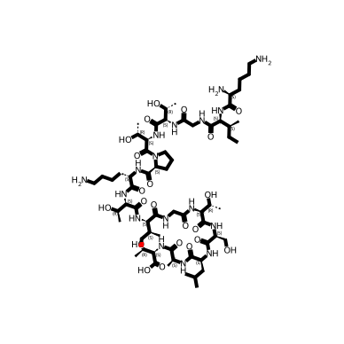 CC[C@H](C)[C@H](NC(=O)[C@@H](NC(=O)[C@H](CCCCN)NC(=O)[C@@H]1CCCN1C(=O)[C@@H](NC(=O)[C@@H](NC(=O)CNC(=O)[C@@H](NC(=O)[C@@H](N)CCCCN)[C@@H](C)CC)[C@@H](C)O)[C@@H](C)O)[C@@H](C)O)C(=O)NCC(=O)N[C@H](C(=O)N[C@@H](CO)C(=O)N[C@@H](CC(C)C)C(=O)N[C@@H](C)C(=O)N[C@H](C(=O)O)[C@@H](C)O)[C@@H](C)O